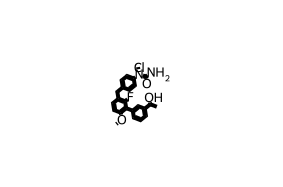 COc1ccc(Cc2ccc(N(Cl)C(N)=O)cc2)c(F)c1-c1cccc(C(C)O)c1